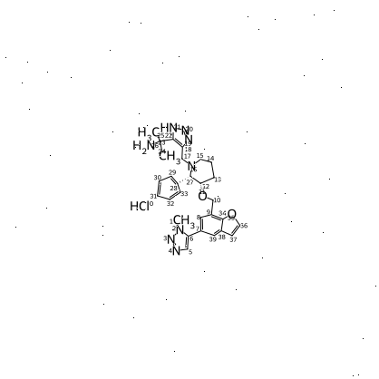 Cl.Cn1nncc1-c1cc(CO[C@H]2CCCN(Cc3nn[nH]c3C(C)(C)N)[C@H]2c2ccccc2)c2occc2c1